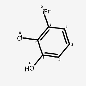 C[C](C)c1cccc(O)c1Cl